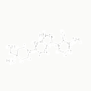 CC1(CN)CCN(c2cnc3c(-c4ccnc(N)c4Cl)n[nH]c3n2)CC1